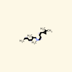 C=C(/C=C\C=C/C)CN(C)/C=C\C=C/C1CC1(C)C